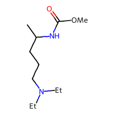 CCN(CC)CCCC(C)NC(=O)OC